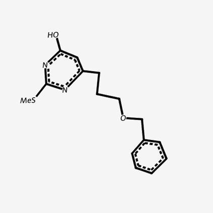 CSc1nc(O)cc(CCCOCc2ccccc2)n1